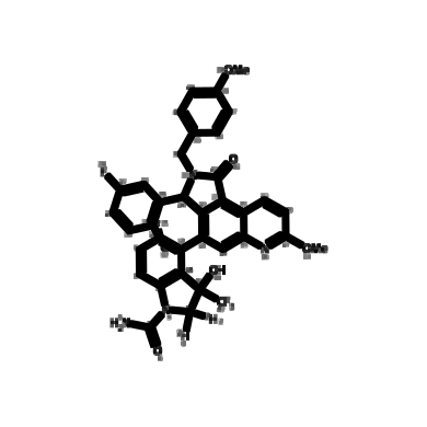 [2H]C1([2H])N(C(N)=O)c2ccc(F)c(-c3cc4nc(OC)ccc4c4c3C(c3cc(F)ccc3Cl)N(Cc3ccc(OC)cc3)C4=O)c2C1(O)C(F)(F)F